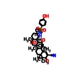 CC1(C)C(=O)C(C#N)=C[C@]2(C)C3=CC(=O)[C@]4(O)[C@@H]5C[C@@](C)(NS(=O)(=O)c6ccc(O)cc6)CC[C@]5(C)CC[C@@]4(C)[C@]3(C)CC[C@@H]12